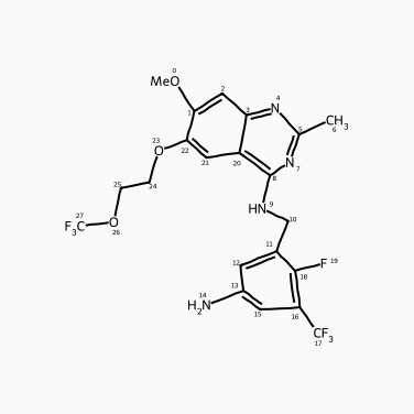 COc1cc2nc(C)nc(NCc3cc(N)cc(C(F)(F)F)c3F)c2cc1OCCOC(F)(F)F